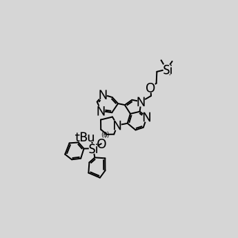 CC(C)(C)[Si](O[C@@H]1CCCN(c2ccnc3c2c(-c2cncnc2)cn3COCC[Si](C)(C)C)C1)(c1ccccc1)c1ccccc1